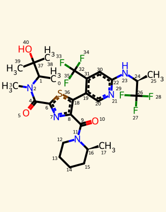 CC(N(C)C(=O)c1nc(C(=O)N2CCCC[C@@H]2C)c(-c2cnc(N[C@@H](C)C(F)(F)F)cc2C(F)(F)F)s1)C(C)(C)O